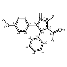 COc1ccc(-c2[nH]c(C)c(C(C)=O)c2-c2ccccc2)cc1